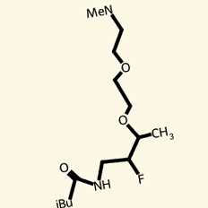 CCC(C)C(=O)NCC(F)C(C)OCCOCCNC